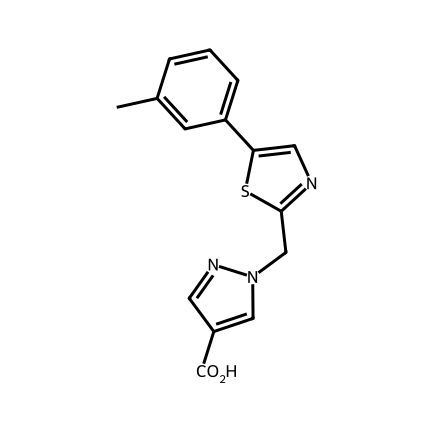 Cc1cccc(-c2cnc(Cn3cc(C(=O)O)cn3)s2)c1